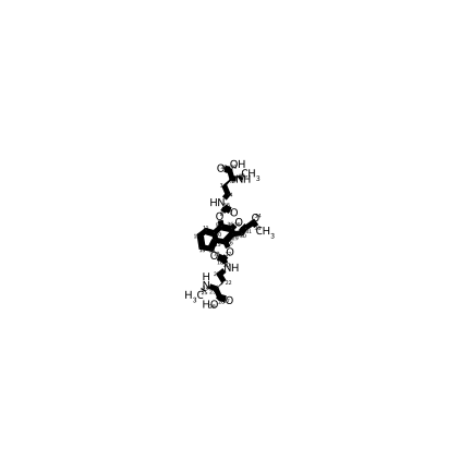 CN[C@@H](CCNC(=O)Oc1c2ccccc2c(OC(=O)NCC[C@@H](NC)C(=O)O)c2cc(C(C)=O)oc12)C(=O)O